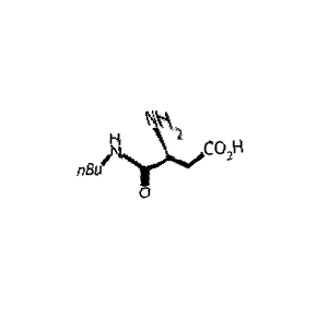 CCCCNC(=O)[C@@H](N)CC(=O)O